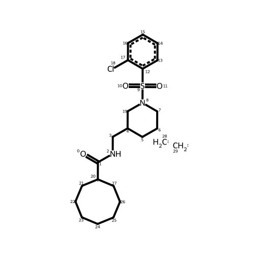 O=C(NCC1CCCN(S(=O)(=O)c2ccccc2Cl)C1)[C]1CCCCCCC1.[CH2].[CH2]